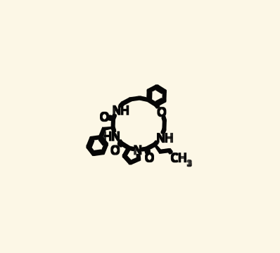 CCC[C@@H]1NCCOc2ccccc2CCCNC(=O)[C@H](Cc2ccccc2)NC(=O)C2CCCN2C1=O